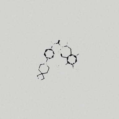 COc1cc(F)c2c(c1OC)C=NN(C(=O)N(C)c1ccc(N3CCC4(CC3)COC4)cc1)[C@@H](C)C2